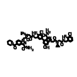 CC(C)N(CC(=O)NCc1cc(-c2cc(O)cc3c2c(C(N)=O)nn3CC(=O)N(CC(=O)NCc2cccc(Cl)c2F)C2CC2)cc(Cl)c1F)C(=O)Cn1nc(C(N)=O)c2cc(C(=O)N3CCCCC3)ccc21